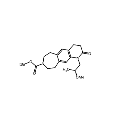 CO[C@@H](C)CN1C(=O)CCc2cc3c(cc21)CCN(C(=O)OC(C)(C)C)CC3